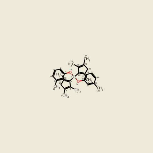 CC1=C(C)[C]([Zr]([O]c2cccc(C)c2)([O]c2cccc(C)c2)[C]2=C(C)CC(C)=C2C)=C(C)C1